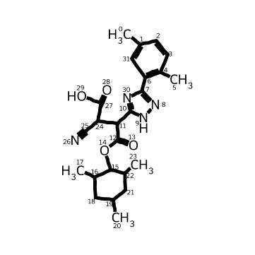 Cc1ccc(C)c(-c2n[nH]c(C(C(=O)OC3C(C)CC(C)CC3C)C(C#N)C(=O)O)n2)c1